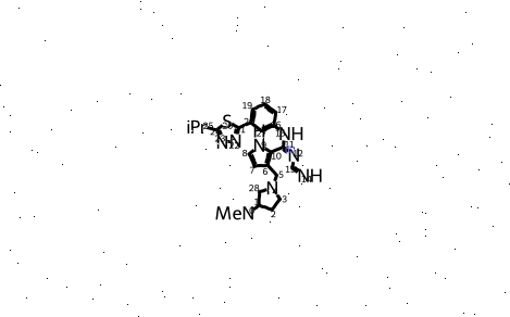 CNC1CCN(Cc2cc[nH]c2/C(=N\C=N)Nc2cccc(-c3nnc(C(C)C)s3)c2)C1